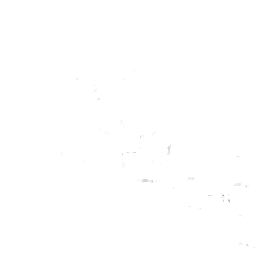 Cc1ccccc1-c1c2c(c(-c3ccccc3C)c3ccccc13)-c1ccc3c4c(ccc-2c14)-c1ccc(N(c2ccccc2)c2ccccc2)cc1-3